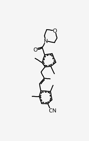 C/C(=C\c1c(C)cc(C#N)cc1C)Cc1c(C)ccc(C(=O)N2CCOCC2)c1C